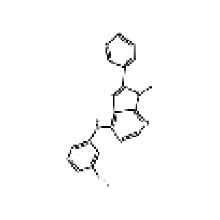 Cn1c(-c2ccccc2)cc2c(Nc3cccc(C(F)(F)F)c3)ncnc21